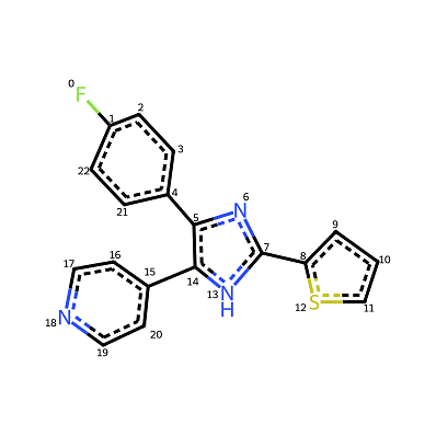 Fc1ccc(-c2nc(-c3cccs3)[nH]c2-c2ccncc2)cc1